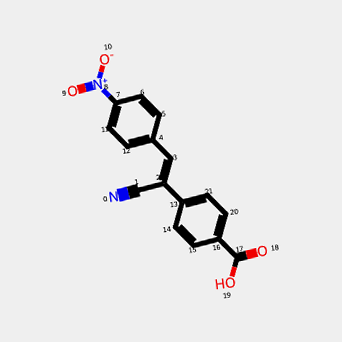 N#CC(=Cc1ccc([N+](=O)[O-])cc1)c1ccc(C(=O)O)cc1